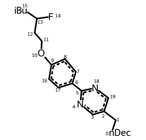 CCCCCCCCCCCc1cnc(-c2ccc(OCCC(F)C(C)CC)cc2)nc1